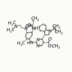 C=CC(=O)Nc1cc(Nc2ncc(C(=O)OC)c(-c3cn(N(C)C)c4ccccc34)n2)c(C)cc1N(C)CCN(C)C